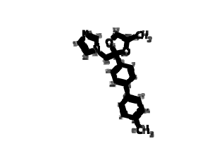 Cc1ccc(-c2ccc(C3(Cn4ccnc4)OCC(C)O3)cc2)cc1